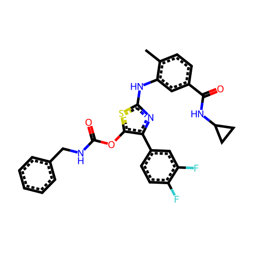 Cc1ccc(C(=O)NC2CC2)cc1Nc1nc(-c2ccc(F)c(F)c2)c(OC(=O)NCc2ccccc2)s1